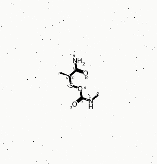 CNC(=O)OS[C@@H](C)C(N)=O